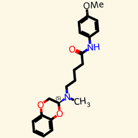 COc1ccc(NC(=O)CCCCN(C)[C@@H]2COc3ccccc3O2)cc1